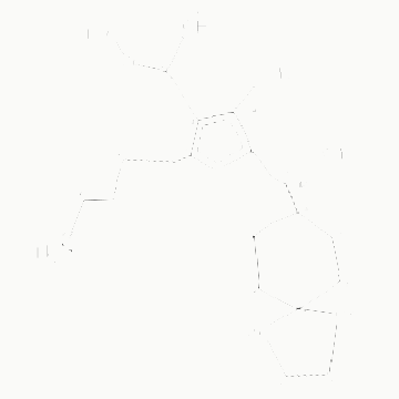 COC(O)c1c(CCCN)sc([C@H](C)C2CCC3(CC2)OCCO3)c1C